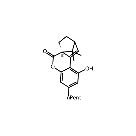 CCCCCc1cc(O)c2c(c1)OC(=O)[C@]13CCC(C=C21)C3(C)C